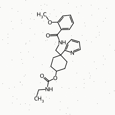 CCNC(=O)OC1CCC(CNC(=O)c2ccccc2OC)(c2ccccn2)CC1